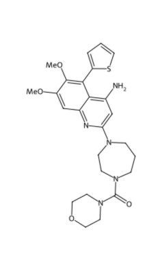 COc1cc2nc(N3CCCN(C(=O)N4CCOCC4)CC3)cc(N)c2c(-c2cccs2)c1OC